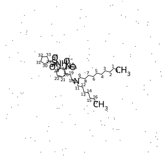 CCCCCCCCCCN(CCCCCCC)CCc1cccc(NS(=O)(=O)C2CCCC2)c1[N+](=O)[O-]